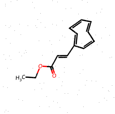 CCOC(=O)/C=C/C1=C\C=C/C=C/C=C\1